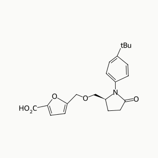 CC(C)(C)c1ccc(N2C(=O)CC[C@H]2COCc2ccc(C(=O)O)o2)cc1